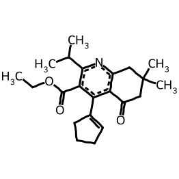 CCOC(=O)c1c(C(C)C)nc2c(c1C1=CCCC1)C(=O)CC(C)(C)C2